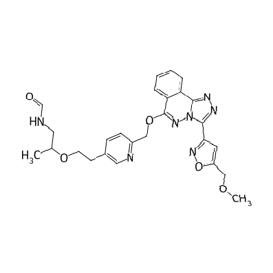 COCc1cc(-c2nnc3c4ccccc4c(OCc4ccc(CCOC(C)CNC=O)cn4)nn23)no1